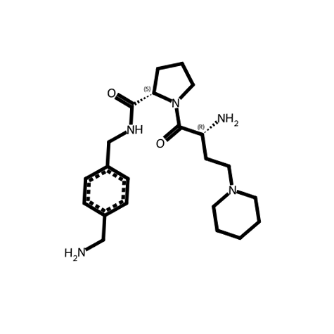 NCc1ccc(CNC(=O)[C@@H]2CCCN2C(=O)[C@H](N)CCN2CCCCC2)cc1